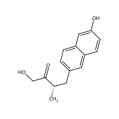 C[C@@H](Cc1ccc2cc(O)ccc2c1)C(=O)CO